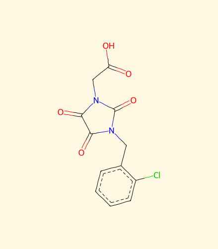 O=C(O)CN1C(=O)C(=O)N(Cc2ccccc2Cl)C1=O